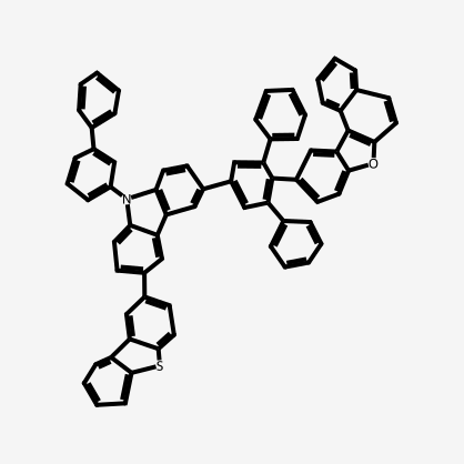 c1ccc(-c2cccc(-n3c4ccc(-c5cc(-c6ccccc6)c(-c6ccc7oc8ccc9ccccc9c8c7c6)c(-c6ccccc6)c5)cc4c4cc(-c5ccc6sc7ccccc7c6c5)ccc43)c2)cc1